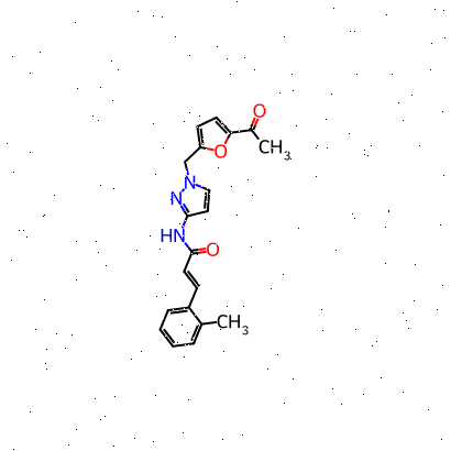 CC(=O)c1ccc(Cn2ccc(NC(=O)C=Cc3ccccc3C)n2)o1